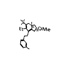 CCC1=C([Si](C)(C)C)C[C@]2(C)C[C@H](OC)CC2=C1CCc1cccc(C)c1